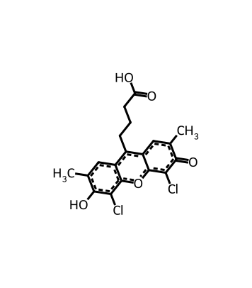 Cc1cc2c(CCCC(=O)O)c3cc(C)c(=O)c(Cl)c-3oc2c(Cl)c1O